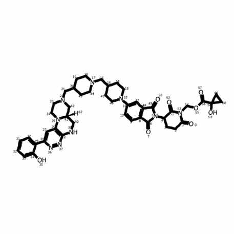 O=C1CCC(N2C(=O)c3ccc(N4CCC(CN5CCC(CN6CCN7c8cc(-c9ccccc9O)nnc8NC[C@H]7C6)CC5)CC4)cc3C2=O)C(=O)N1COC(=O)C1(O)CC1